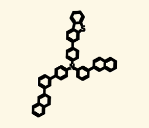 c1cc(-c2ccc(N(c3ccc(-c4ccc5c(c4)sc4ccccc45)cc3)c3cccc(-c4ccc5ccccc5c4)c3)cc2)cc(-c2ccc3ccccc3c2)c1